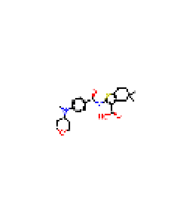 CN(c1ccc(C(=O)Nc2sc3c(c2C(=O)O)CC(C)(C)CC3)cc1)C1CCOCC1